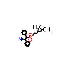 CC(C)CCCCCOC(=O)C(=C(C#N)c1ccccc1)c1ccccc1